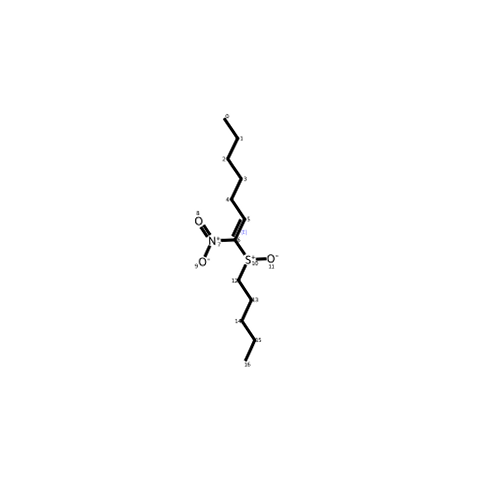 CCCCC/C=C(\[N+](=O)[O-])[S+]([O-])CCCCC